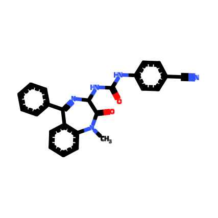 CN1C(=O)C(NC(=O)Nc2ccc(C#N)cc2)N=C(c2ccccc2)c2ccccc21